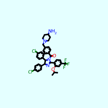 CC(C)Oc1cc(C(F)(F)F)ccc1C1=NC(c2ccc(Cl)cc2)C(c2ccc(Cl)cc2)N1C(=O)c1ccc(CN2CCC(N)CC2)cc1